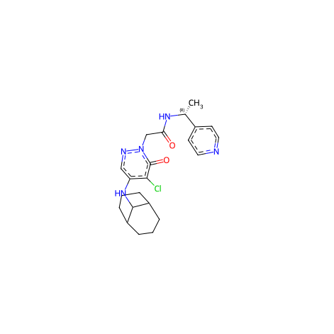 C[C@@H](NC(=O)Cn1ncc(NC2C3CCCC2CCC3)c(Cl)c1=O)c1ccncc1